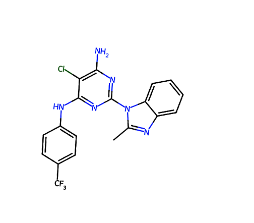 Cc1nc2ccccc2n1-c1nc(N)c(Cl)c(Nc2ccc(C(F)(F)F)cc2)n1